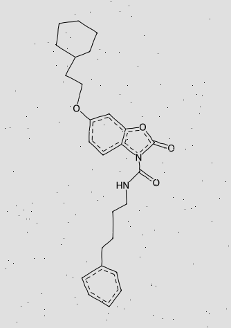 O=C(NCCCCc1ccccc1)n1c(=O)oc2cc(OCCC3CCCCC3)ccc21